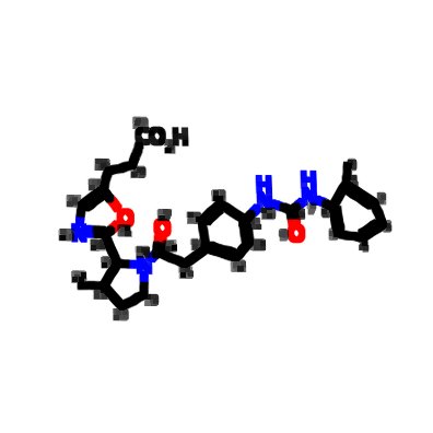 Cc1ccccc1NC(=O)Nc1ccc(CC(=O)N2CCC(C)C2c2ncc(CCC(=O)O)o2)cc1